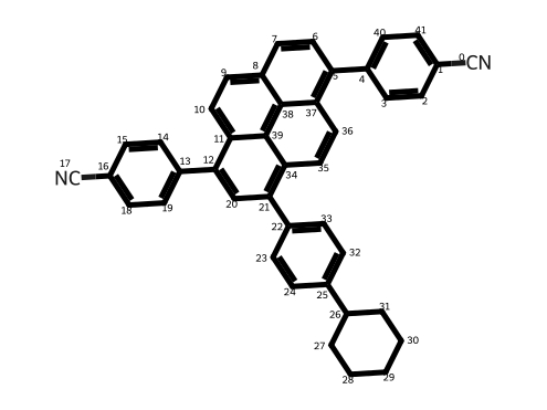 N#Cc1ccc(-c2ccc3ccc4c(-c5ccc(C#N)cc5)cc(-c5ccc(C6CCCCC6)cc5)c5ccc2c3c45)cc1